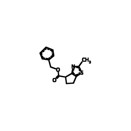 Cc1nc2c(s1)CCC2C(=O)OCc1ccccc1